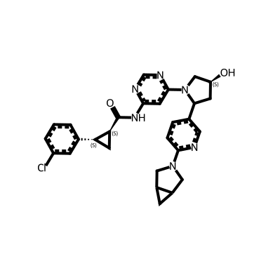 O=C(Nc1cc(N2C[C@@H](O)CC2c2ccc(N3CC4CC4C3)nc2)ncn1)[C@H]1C[C@@H]1c1cccc(Cl)c1